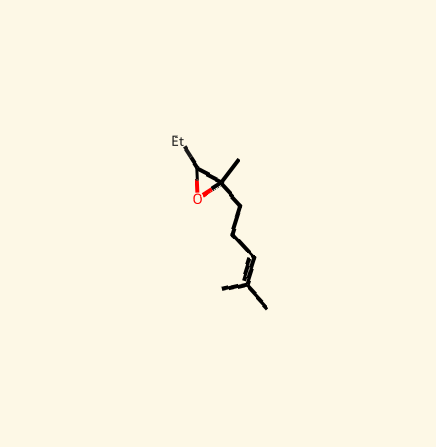 CCC1OC1(C)CCC=C(C)C